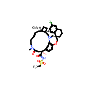 CO[C@H]1/C=C/CCN(C)C(=O)C[C@](O)(C(=O)NS(=O)(=O)CC(F)(F)F)c2ccc3c(c2)N(C[C@@H]2CC[C@H]21)C[C@@]1(CCCc2cc(Cl)ccc21)CO3